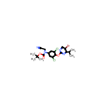 CC(C)c1nc(Oc2c(Cl)cc(N(CC#N)C(=O)OC(C)(C)C)cc2Cl)ncc1Br